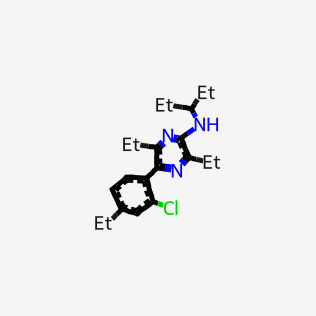 CCc1ccc(-c2nc(CC)c(NC(CC)CC)nc2CC)c(Cl)c1